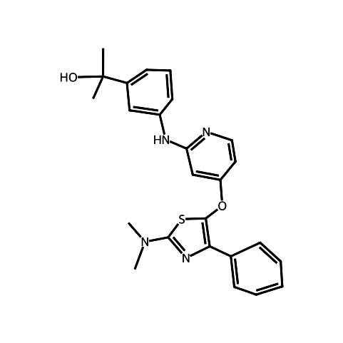 CN(C)c1nc(-c2ccccc2)c(Oc2ccnc(Nc3cccc(C(C)(C)O)c3)c2)s1